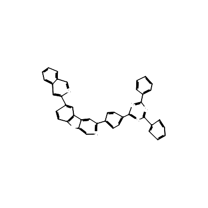 c1ccc(-c2nc(-c3ccccc3)nc(-c3ccc(-c4cc5c(cn4)oc4ccc(-c6cc7ccccc7cn6)cc45)cc3)n2)cc1